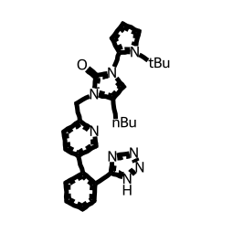 CCCCc1cn(-c2cccn2C(C)(C)C)c(=O)n1Cc1ccc(-c2ccccc2-c2nnn[nH]2)cn1